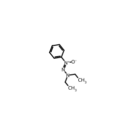 CCN(CC)/N=[N+](\[O-])c1ccccc1